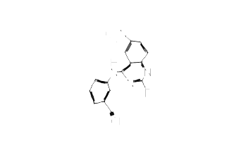 C#Cc1cccc(Nc2nc(F)nc3ccc([N+](=O)[O-])cc23)c1